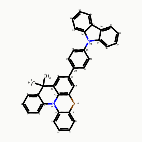 CC1(C)c2ccccc2N2c3ccccc3Sc3cc(-c4ccc(-n5c6ccccc6c6ccccc65)cc4)cc1c32